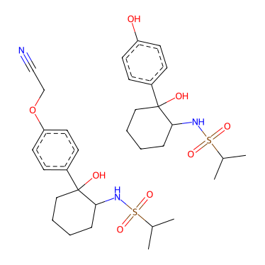 CC(C)S(=O)(=O)NC1CCCCC1(O)c1ccc(O)cc1.CC(C)S(=O)(=O)NC1CCCCC1(O)c1ccc(OCC#N)cc1